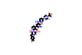 C[C@@H]1CN(c2ccc(Nc3cc(-c4ccnc(N5CCn6c(cc7c6CC(C)(C)C7)C5=O)c4CO)cn(C)c3=O)nc2)CCN1C1COC1